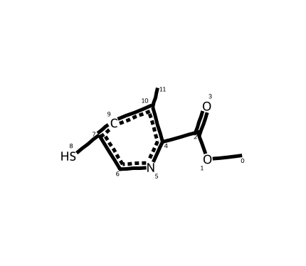 COC(=O)c1ncc(S)cc1C